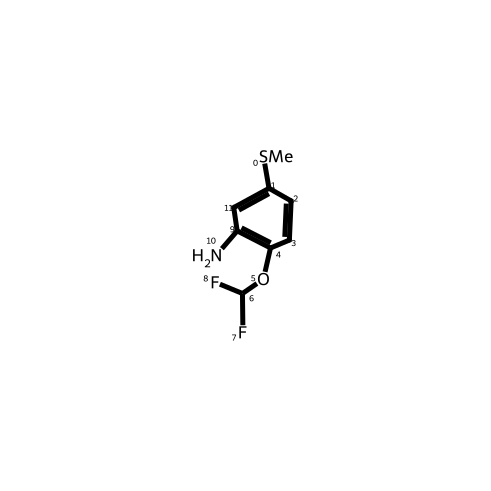 CSc1ccc(OC(F)F)c(N)c1